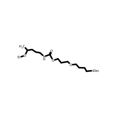 CCCCCCCCCCCCCCOCCCOC(=O)NCCCC(C)OCC